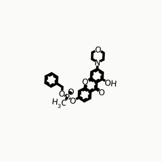 CP(=O)(OCc1ccccc1)Oc1ccc2c(=O)c3c(O)cc(N4CCOCC4)cc3oc2c1